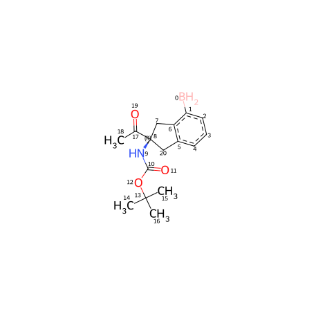 Bc1cccc2c1C[C@@](NC(=O)OC(C)(C)C)(C(C)=O)C2